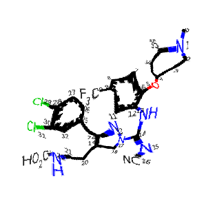 CN1CCC(Oc2ccc(C(F)(F)F)cc2NC(=NC#N)N2CC(CCNC(=O)O)C(c3ccc(Cl)c(Cl)c3)=N2)CC1